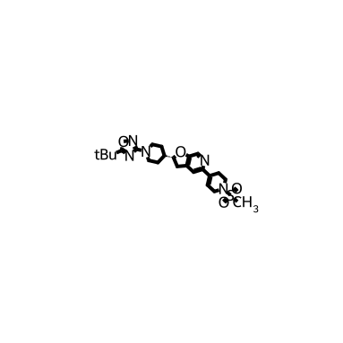 CC(C)(C)c1nc(N2CCC([C@H]3Cc4cc(C5=CCN(S(C)(=O)=O)CC5)ncc4O3)CC2)no1